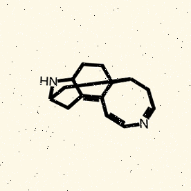 C1=CC2=C3CC4CC(CC=N1)C2CCC3N4